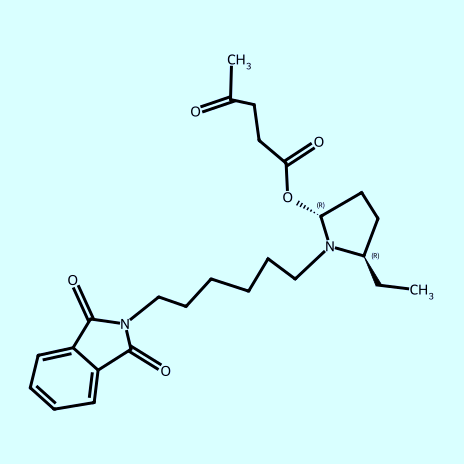 CC[C@@H]1CC[C@@H](OC(=O)CCC(C)=O)N1CCCCCCN1C(=O)c2ccccc2C1=O